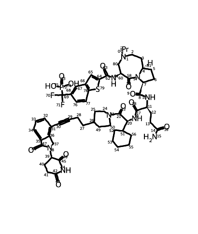 CC(C)N1CC[C@H]2CC[C@@H](C(=O)N[C@@H](CCC(N)=O)C(=O)N[C@H](C(=O)N3CCC(CCC#Cc4cccc5c4CN(C4CCC(=O)NC4=O)C5=O)CC3)C3CCCCC3)N2C(=O)[C@@H](NC(=O)c2cc3cc(C(F)(F)P(=O)(O)O)ccc3s2)C1